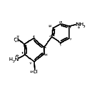 Nc1ccc(-c2cc(Cl)c(N)c(Cl)c2)cc1